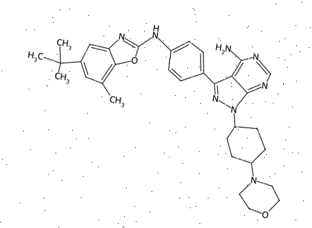 Cc1cc(C(C)(C)C)cc2nc(Nc3ccc(-c4nn(C5CCC(N6CCOCC6)CC5)c5ncnc(N)c45)cc3)oc12